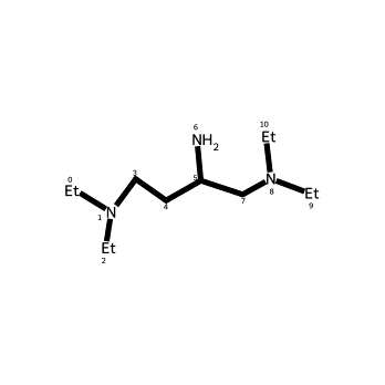 CCN(CC)CCC(N)CN(CC)CC